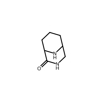 O=C1NCC2CCCC1N2